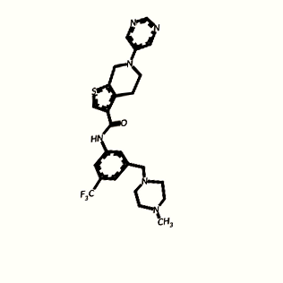 CN1CCN(Cc2cc(NC(=O)c3csc4c3CCN(c3cncnc3)C4)cc(C(F)(F)F)c2)CC1